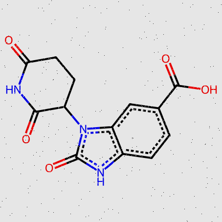 O=C1CCC(n2c(=O)[nH]c3ccc(C(=O)O)cc32)C(=O)N1